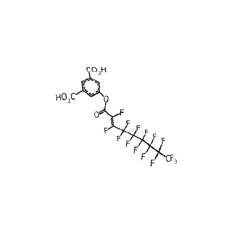 O=C(Oc1cc(C(=O)O)cc(C(=O)O)c1)C(F)=C(F)C(F)(F)C(F)(F)C(F)(F)C(F)(F)C(F)(F)C(F)(F)F